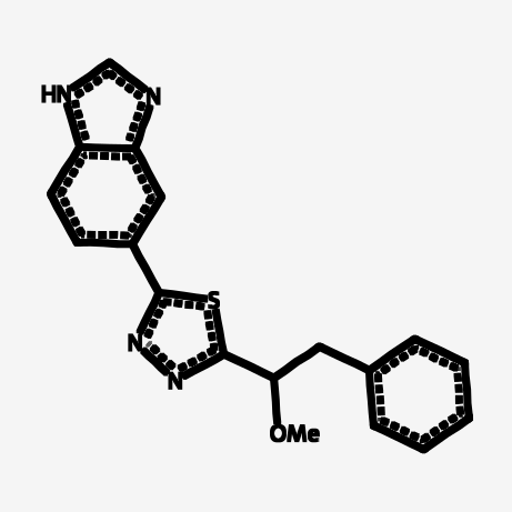 COC(Cc1ccccc1)c1nnc(-c2ccc3[nH]cnc3c2)s1